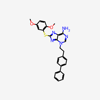 COc1ccc(OC)c(Sc2nc3c(N)ncn(CCc4ccc(-c5ccccc5)cc4)c-3n2)c1